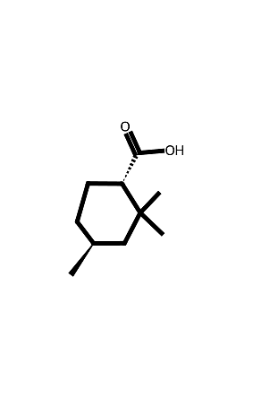 C[C@H]1CC[C@H](C(=O)O)C(C)(C)C1